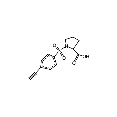 [C]#Cc1ccc(S(=O)(=O)N2CCCC2C(=O)O)cc1